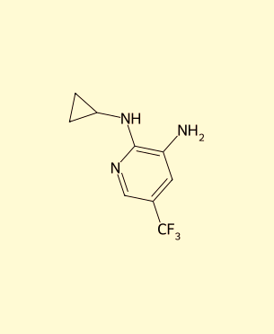 Nc1cc(C(F)(F)F)cnc1NC1CC1